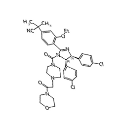 CCOc1cc(C(C)(C)C#N)ccc1C1=N[C@@H](c2ccc(Cl)cc2)[C@@H](c2ccc(Cl)cc2)N1C(=O)N1CCN(CC(=O)N2CCOCC2)CC1